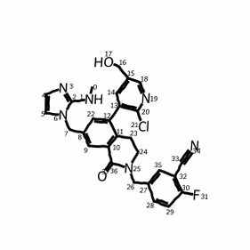 CNc1nccn1Cc1cc2c(c(-c3cc(CO)cnc3Cl)c1)CCN(Cc1ccc(F)c(C#N)c1)C2=O